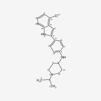 CC(C)N1CCC(Nc2ccc(-c3cc4c(Cl)ccnc4[nH]3)cc2)CC1